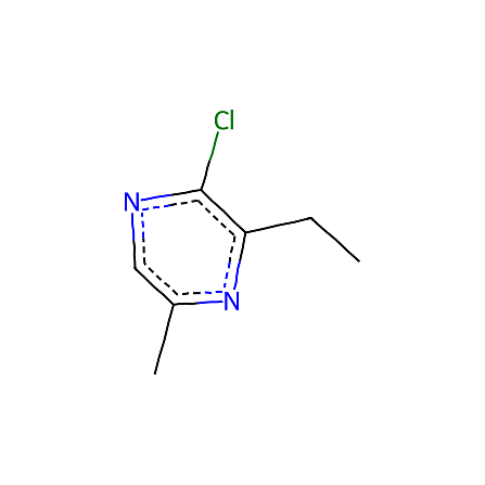 CCc1nc(C)cnc1Cl